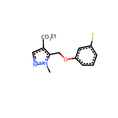 CCOC(=O)c1cnn(C)c1COc1cccc(F)c1